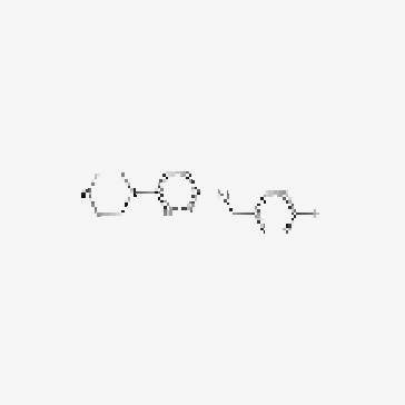 Fc1ccc(CNc2ccc(N3CCOCC3)nc2)cc1